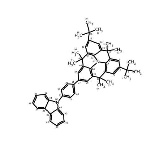 CC(C)(C)c1cc2c3c(c1)C(C)(C)c1cc(C(C)(C)C)cc4c1N3c1c(cc(-c3ccc(-n5c6ccccc6c6ccccc65)cc3)cc1C4(C)C)C2(C)C